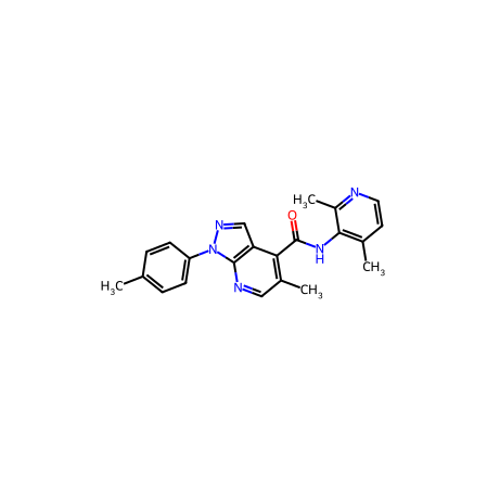 Cc1ccc(-n2ncc3c(C(=O)Nc4c(C)ccnc4C)c(C)cnc32)cc1